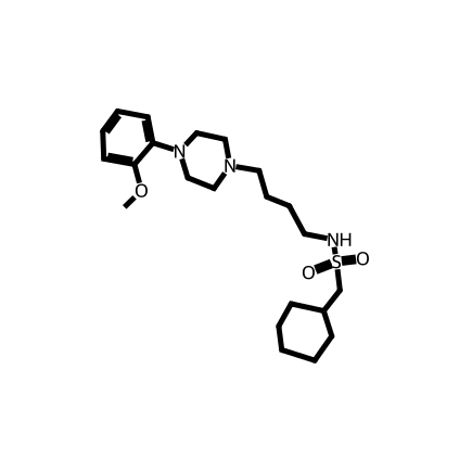 COc1ccccc1N1CCN(CCCCNS(=O)(=O)CC2CCCCC2)CC1